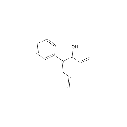 C=CCN(c1ccccc1)C(O)C=C